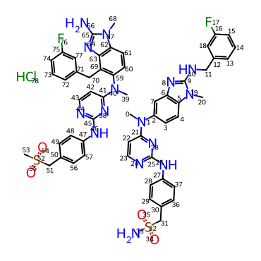 CN(c1ccc2c(c1)nc(NCc1cccc(F)c1)n2C)c1ccnc(Nc2ccc(CS(N)(=O)=O)cc2)n1.CN(c1ccnc(Nc2ccc(CS(C)(=O)=O)cc2)n1)c1ccc2c(nc(N)n2C)c1Cc1cccc(F)c1.Cl